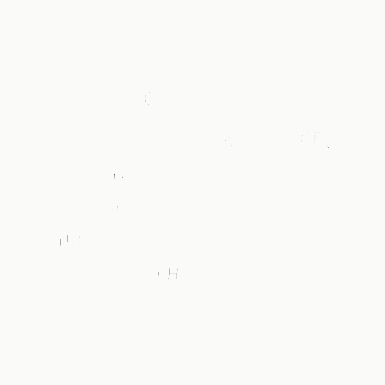 Cc1cc(Cl)c(SCC(F)(F)F)cc1C